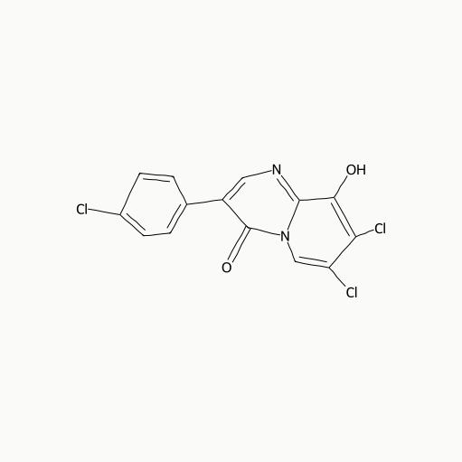 O=c1c(-c2ccc(Cl)cc2)cnc2c(O)c(Cl)c(Cl)cn12